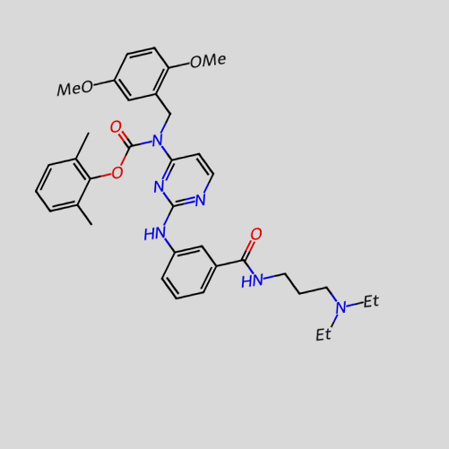 CCN(CC)CCCNC(=O)c1cccc(Nc2nccc(N(Cc3cc(OC)ccc3OC)C(=O)Oc3c(C)cccc3C)n2)c1